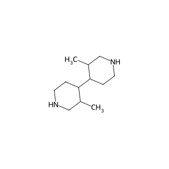 CC1CNCCC1C1CCNCC1C